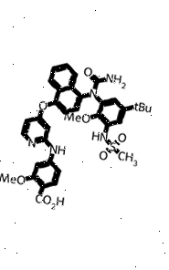 COc1cc(Nc2cc(Oc3ccc(N(C(N)=O)c4cc(C(C)(C)C)cc(NS(C)(=O)=O)c4OC)c4ccccc34)ccn2)ccc1C(=O)O